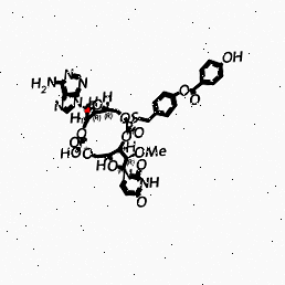 CO[C@@H]1[C@@H]2O[P@](=O)(SCc3ccc(OC(=O)c4ccc(O)cc4)cc3)OC[C@H]3O[C@@H](n4cnc5c(N)ncnc54)[C@H](OP(=O)(O)OC[C@H]2O[C@H]1n1ccc(=O)[nH]c1=O)[C@@H]3F